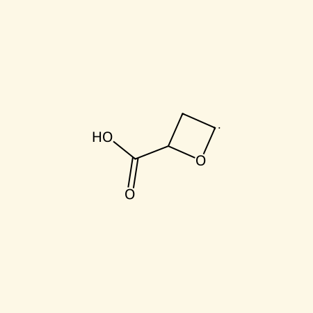 O=C(O)C1C[CH]O1